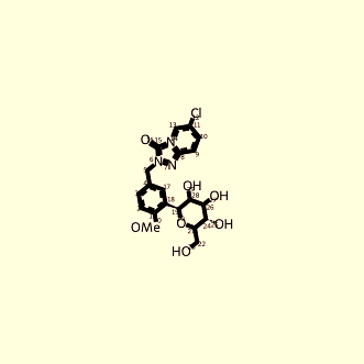 COc1ccc(Cn2nc3ccc(Cl)cn3c2=O)cc1[C@@H]1OC(CO)[C@@H](O)C(O)C1O